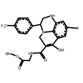 CC(C)(C)OC(=O)CNC(=O)C1=C(O)c2cc(F)cc3c2N(C1)C(c1ccc(C(F)(F)F)cc1)CN3